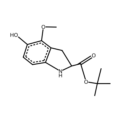 COc1c(O)ccc2c1CC(C(=O)OC(C)(C)C)N2